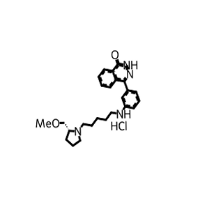 COC[C@H]1CCCN1CCCCCNc1cccc(-c2n[nH]c(=O)c3ccccc23)c1.Cl